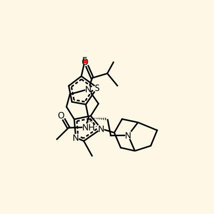 CC(=O)N[C@@H](CCN1C2CCC1CC(n1c(C)nc3c1CN(C(=O)C(C)C)CC3)C2)c1ccc(F)s1